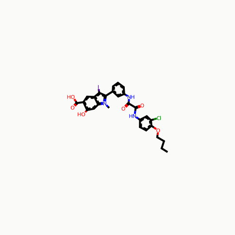 CCCCOc1ccc(NC(=O)C(=O)Nc2cccc(-c3c(I)c4cc(C(=O)O)c(O)cc4n3C)c2)cc1Cl